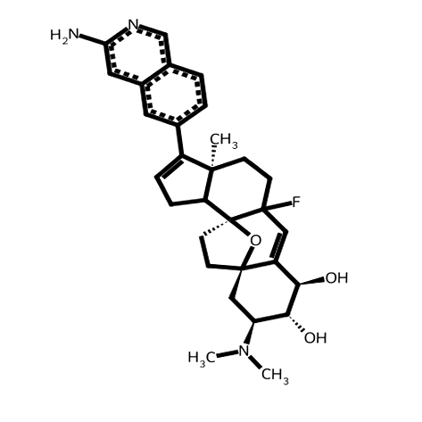 CN(C)[C@H]1C[C@@]23CC[C@]4(O2)C2CC=C(c5ccc6cnc(N)cc6c5)[C@@]2(C)CCC4(F)C=C3[C@@H](O)[C@@H]1O